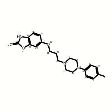 Cc1ccc(N2CCN(CCCOc3ccc4[nH]c(=O)oc4c3)CC2)cc1